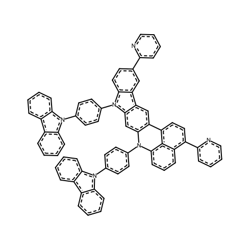 c1ccc(-c2ccc3c(c2)c2cc4c(cc2n3-c2ccc(-n3c5ccccc5c5ccccc53)cc2)N(c2ccc(-n3c5ccccc5c5ccccc53)cc2)c2cccc3c(-c5ccccn5)ccc-4c23)nc1